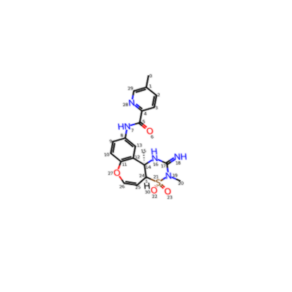 Cc1ccc(C(=O)Nc2ccc3c(c2)[C@@]2(C)NC(=N)N(C)S(=O)(=O)[C@H]2C=CO3)nc1